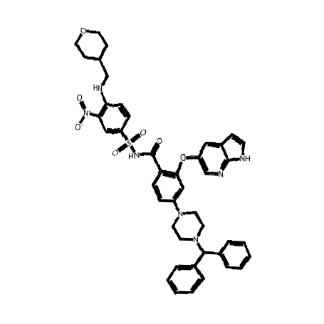 O=C(NS(=O)(=O)c1ccc(NCC2CCOCC2)c([N+](=O)[O-])c1)c1ccc(N2CCN(C(c3ccccc3)c3ccccc3)CC2)cc1Oc1cnc2[nH]ccc2c1